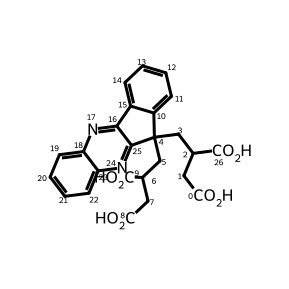 O=C(O)CC(CC1(CC(CC(=O)O)C(=O)O)c2ccccc2-c2nc3ccccc3nc21)C(=O)O